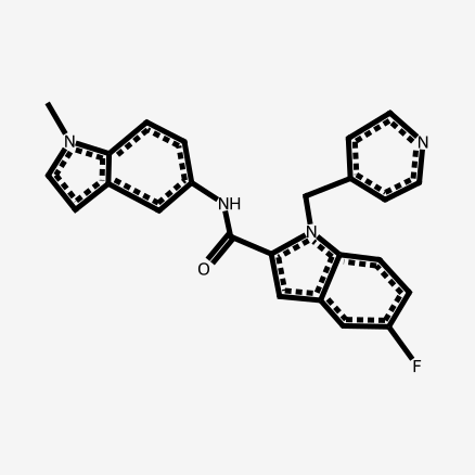 Cn1ccc2cc(NC(=O)c3cc4cc(F)ccc4n3Cc3ccncc3)ccc21